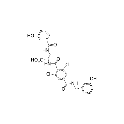 O=C(NCc1cccc(O)c1)c1cc(Cl)c(C(=O)N[C@@H](CNC(=O)c2cccc(O)c2)C(=O)O)c(Cl)c1